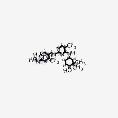 C\C=C(CNc1ncc(C(F)(F)F)c(N[C@@H]2CC[C@H](O)C(C)(C)C2)n1)/C(=C\C(C)=N\O)C(F)(F)F